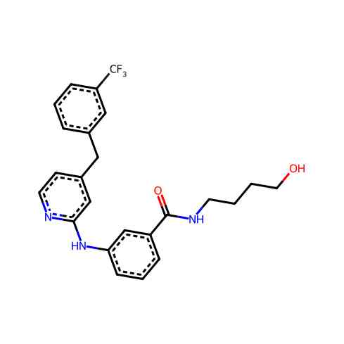 O=C(NCCCCO)c1cccc(Nc2cc(Cc3cccc(C(F)(F)F)c3)ccn2)c1